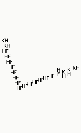 F.F.F.F.F.F.F.F.F.F.F.F.F.F.F.[KH].[KH].[KH].[KH].[KH]